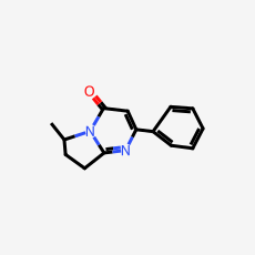 CC1CCc2nc(-c3ccccc3)cc(=O)n21